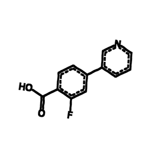 O=C(O)c1ccc(-c2cccnc2)cc1F